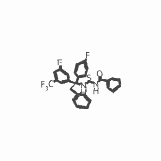 O=C(NC(=S)N[C@@](Cc1ccccc1)(c1ccc(F)cc1)c1cc(F)cc(C(F)(F)F)c1)c1ccccc1